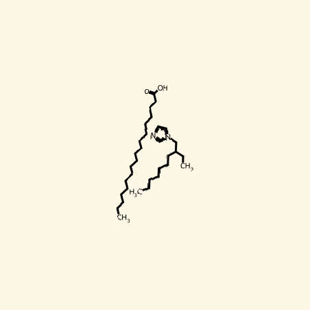 CCCCCCCC(CC)Cn1ccnc1.CCCCCCCCCCCCCCCCCC(=O)O